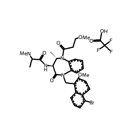 CNC(C)C(=O)N[C@@H]1C(=O)N(Cc2c(OC)ccc3c(Br)cccc23)c2ccccc2N(C(=O)CCOC)[C@H]1C.O=C(O)C(F)(F)F